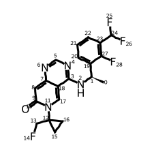 C[C@@H](Nc1ncnc2cc(=O)n(C3(CF)CC3)cc12)c1cccc(C(F)F)c1F